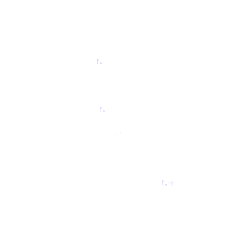 CN1CCC(N(Cc2cc(-c3ccc4[nH]ccc4c3)ccc2F)C(=O)c2cccs2)CC1